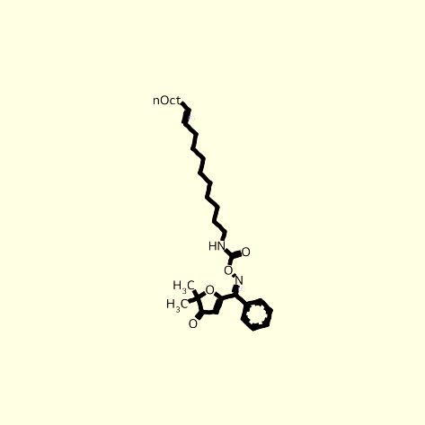 CCCCCCCC/C=C/CCCCCCCCCNC(=O)O/N=C(\C1=CC(=O)C(C)(C)O1)c1ccccc1